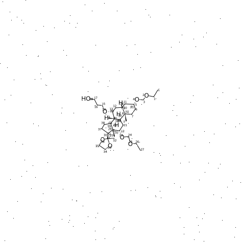 CCOCO[C@@H]1CC[C@@]2(C)[C@@H](C1)C[C@@H](OCCCO)[C@@H]1[C@@H]2C[C@H](OCOCC)[C@]2(C)[C@@H](C3(C)OCCO3)CC[C@@H]12